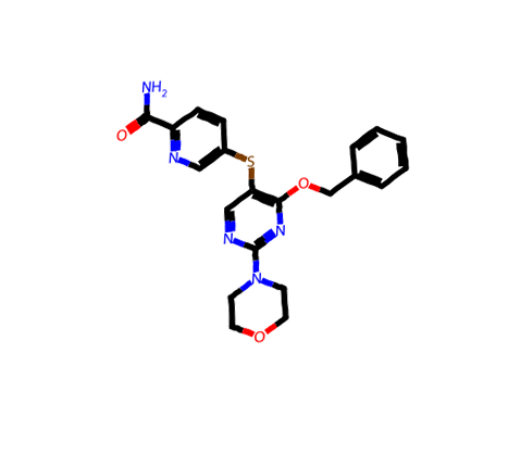 NC(=O)c1ccc(Sc2cnc(N3CCOCC3)nc2OCc2ccccc2)cn1